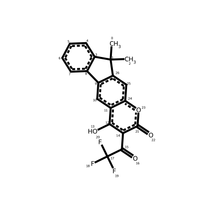 CC1(C)c2ccccc2-c2cc3c(O)c(C(=O)C(F)(F)F)c(=O)oc3cc21